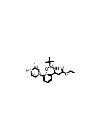 CCOC(=O)CC(N[S+]([O-])C(C)(C)C)c1cccc(N2C[C@@H](C)N[C@@H](C)C2)n1